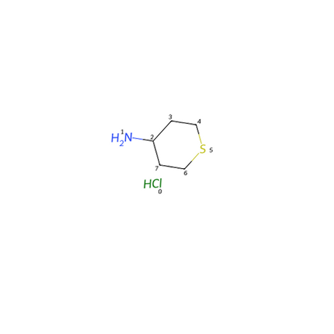 Cl.NC1CCSCC1